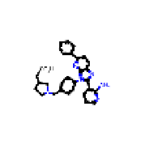 Nc1ncccc1-c1nc2ccc(-c3ccccc3)nc2n1-c1ccc(CN2CCC(CC(=O)O)C2)cc1